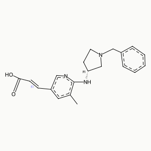 Cc1cc(/C=C/C(=O)O)cnc1N[C@@H]1CCN(Cc2ccccc2)C1